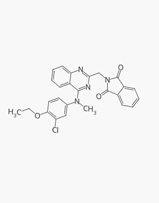 CCOc1ccc(N(C)c2nc(CN3C(=O)c4ccccc4C3=O)nc3ccccc23)cc1Cl